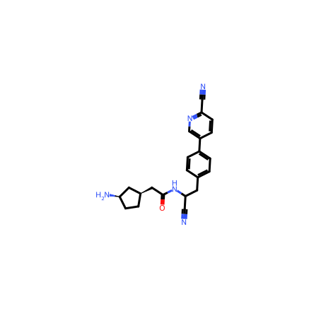 N#Cc1ccc(-c2ccc(CC(C#N)NC(=O)C[C@H]3CC[C@@H](N)C3)cc2)cn1